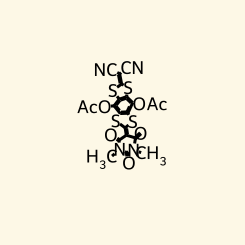 CC(=O)Oc1c2c(c(OC(C)=O)c3c1SC(=C1C(=O)N(C)C(=O)N(C)C1=O)S3)SC(=C(C#N)C#N)S2